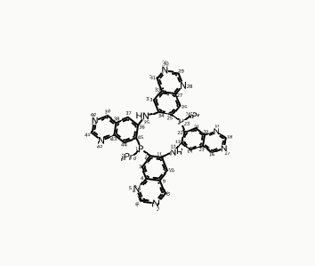 CC(C)P1c2cc3ncncc3cc2Nc2cc3cncnc3cc2P(C(C)C)c2cc3ncncc3cc2Nc2cc3cncnc3cc21